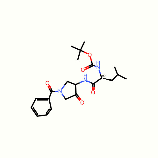 CC(C)C[C@H](NC(=O)OC(C)(C)C)C(=O)NC1CN(C(=O)c2ccccc2)CC1=O